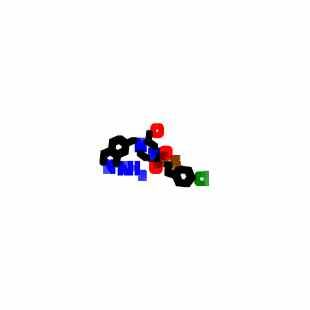 Nc1nccc2ccc(CN3CCN(S(=O)(=O)c4cc5ccc(Cl)cc5s4)CC3C=O)cc12